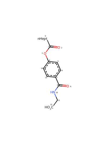 CCCCCCCC(=O)Oc1ccc(C(=O)NCC(=O)O)cc1